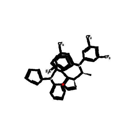 C[C@H]([C@@H]1C=CC=C1c1ccccc1P(c1ccccc1)c1ccccc1)P(c1cc(C(F)(F)F)cc(C(F)(F)F)c1)c1cc(C(F)(F)F)cc(C(F)(F)F)c1